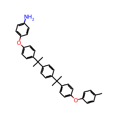 Cc1ccc(Oc2ccc(C(C)(C)c3ccc(C(C)(C)c4ccc(Oc5ccc(N)cc5)cc4)cc3)cc2)cc1